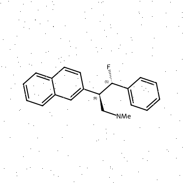 CNC[C@@H](c1ccc2ccccc2c1)[C@H](F)c1ccccc1